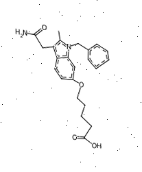 Cc1c(CC(N)=O)c2ccc(OCCCCC(=O)O)cc2n1Cc1ccccc1